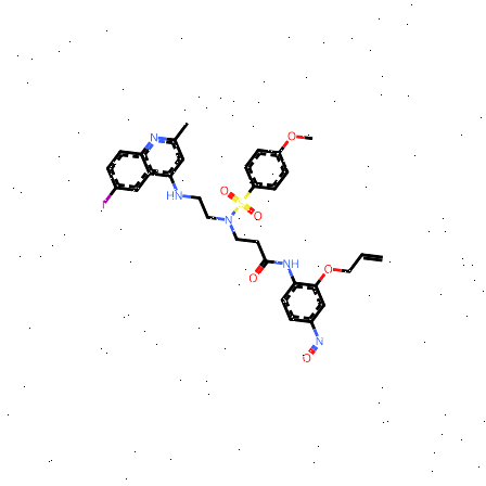 C=CCOc1cc(N=O)ccc1NC(=O)CCN(CCNc1cc(C)nc2ccc(I)cc12)S(=O)(=O)c1ccc(OC)cc1